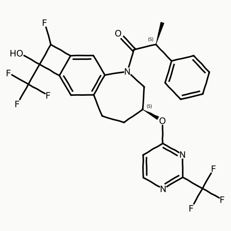 C[C@H](C(=O)N1C[C@@H](Oc2ccnc(C(F)(F)F)n2)CCc2cc3c(cc21)C(F)C3(O)C(F)(F)F)c1ccccc1